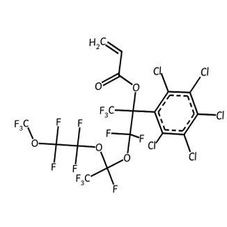 C=CC(=O)OC(c1c(Cl)c(Cl)c(Cl)c(Cl)c1Cl)(C(F)(F)F)C(F)(F)OC(F)(OC(F)(F)C(F)(F)OC(F)(F)F)C(F)(F)F